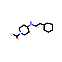 CC(=O)N1CCC(NCCC2CCCCC2)CC1